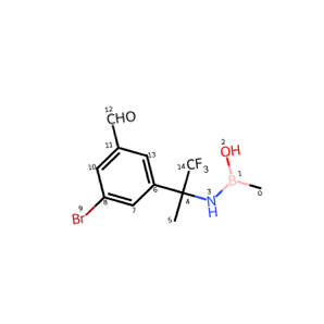 CB(O)NC(C)(c1cc(Br)cc(C=O)c1)C(F)(F)F